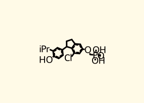 CC(C)c1cc(C2CCc3cc(OCP(=O)(O)O)cc(Cl)c32)ccc1O